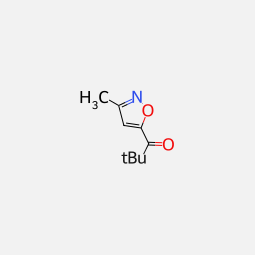 Cc1cc(C(=O)C(C)(C)C)on1